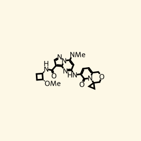 CNc1cc(Nc2ccc3n(c2=O)C2(CC2)COC3)nc2c(C(=O)N[C@@H]3CC[C@H]3OC)cnn12